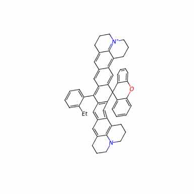 CCc1ccccc1C1=c2cc3cc4c5c(c3cc2C2(c3ccccc3Oc3ccccc32)c2cc3c6c7c(cc3cc21)CCCN7CCC6)CCC[N+]=5CCC4